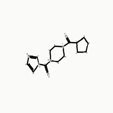 O=C(C1CCCC1)N1CCN(C(=O)n2ccnc2)CC1